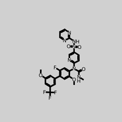 CNC(=O)N(c1ccc(S(=O)(=O)Nc2ncccn2)cn1)c1cc(F)c(-c2cc(OC)cc(C(F)(F)F)c2)cc1OC